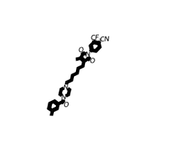 CC1=C(CCCCCCN2CCN(C(=O)c3cccc(C)c3)CC2)C(=O)N(c2ccc(C#N)c(C(F)(F)F)c2)C1=O